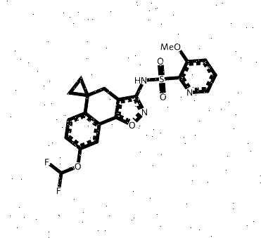 COc1cccnc1S(=O)(=O)Nc1noc2c1CC1(CC1)c1ccc(OC(F)F)cc1-2